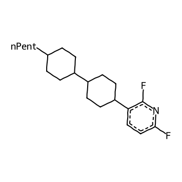 CCCCCC1CCC(C2CCC(c3ccc(F)nc3F)CC2)CC1